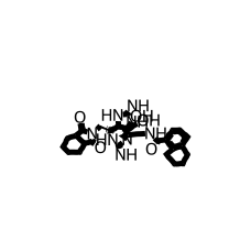 N=C1NC2[C@H](CN3C(=O)C4CCCCC4C3=O)NC(=N)N3CC(NC(=O)c4cccc5c4CCCC5)C(O)(O)C23N1